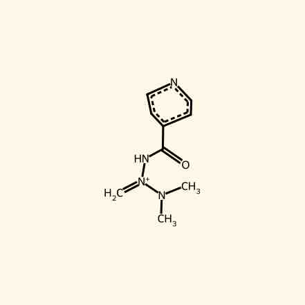 C=[N+](NC(=O)c1ccncc1)N(C)C